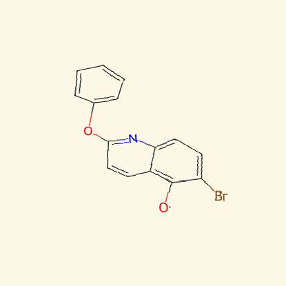 [O]c1c(Br)ccc2nc(Oc3ccccc3)ccc12